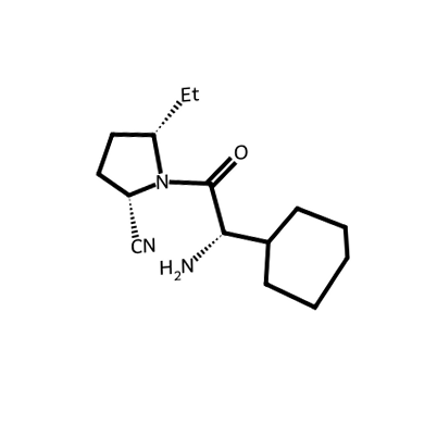 CC[C@H]1CC[C@@H](C#N)N1C(=O)[C@@H](N)C1CCCCC1